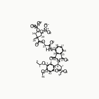 CCOc1cc(C(CS(C)(=O)=O)N2C(=O)c3cccc(NC(=O)COC(=O)C(C)(CO[N+](=O)[O-])CO[N+](=O)[O-])c3C2=O)ccc1OC